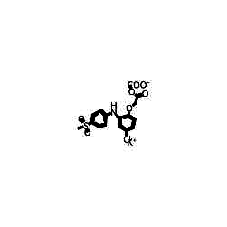 CS(=O)(=O)c1ccc(Nc2cc(Cl)ccc2OCC(=O)OC(=O)[O-])cc1.[K+]